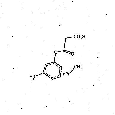 CCCC.O=C(O)CC(=O)Oc1cccc(C(F)(F)F)c1